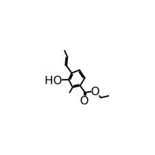 C/C=C/c1ccc(C(=O)OCC)c(C)c1O